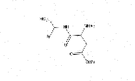 COC(=O)CC(NC(C)=O)C(=O)NC(C(=O)O)C(C)C